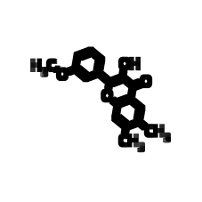 COc1cccc(-c2oc3cc(C)c(C)cc3c(=O)c2O)c1